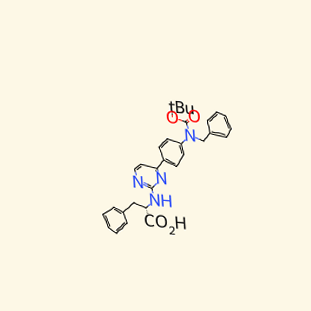 CC(C)(C)OC(=O)N(Cc1ccccc1)c1ccc(-c2ccnc(N[C@@H](Cc3ccccc3)C(=O)O)n2)cc1